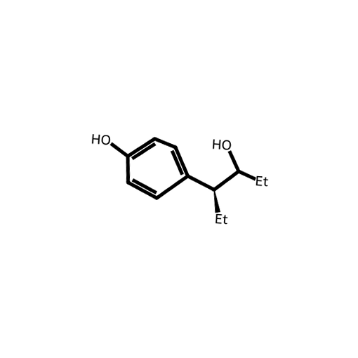 CCC(O)[C@@H](CC)c1ccc(O)cc1